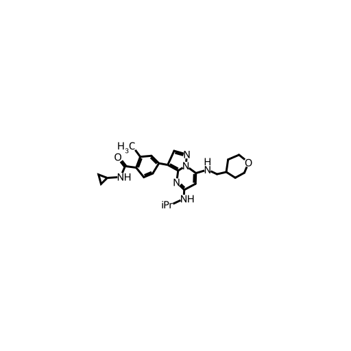 Cc1cc(-c2cnn3c(NCC4CCOCC4)cc(NC(C)C)nc23)ccc1C(=O)NC1CC1